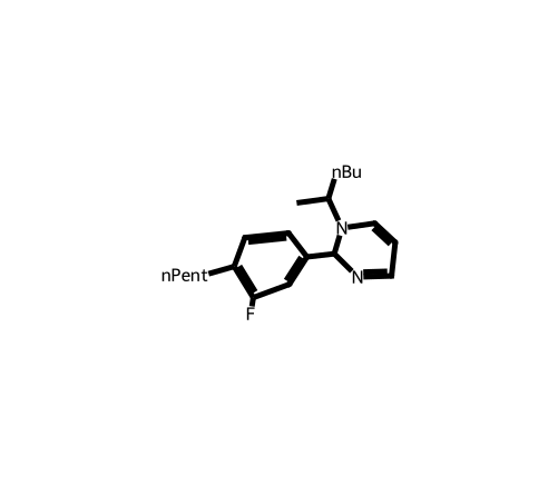 CCCCCc1ccc(C2N=CC=CN2C(C)CCCC)cc1F